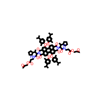 Cc1cc(C(C)C)ccc1Oc1cc2c3c(cc(Oc4ccc(C(C)C)cc4C)c4c5c(Oc6ccc(C(C)C)cc6C)cc6c7c(cc(Oc8ccc(C(C)C)cc8C)c(c1c34)c75)C(=O)N(C(C(=O)NCCC(=O)OCC1CO1)C(C)C1CCCC1)C6=O)C(=O)N(C(C(=O)NCCC(=O)OCC1CO1)C(C)C1CCCC1)C2=O